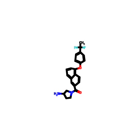 CC(F)(F)c1ccc(Oc2cccc3cc(C(=O)N4CCC(N)C4)ccc23)cc1